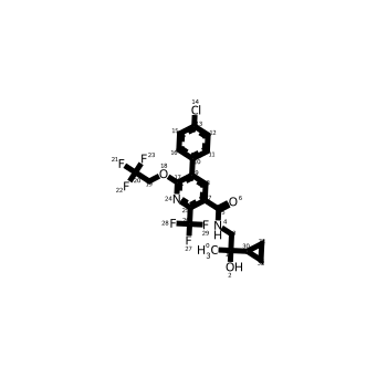 CC(O)(CNC(=O)c1cc(-c2ccc(Cl)cc2)c(OCC(F)(F)F)nc1C(F)(F)F)C1CC1